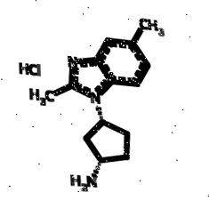 Cc1ccc2c(c1)nc(C)n2[C@@H]1CC[C@H](N)C1.Cl